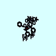 CNC(=O)C1(NC(=O)OC(C)(C)C)CC[C@@](CO[C@H](C)c2cc(C(F)(F)F)cc(C(F)(F)F)c2)(c2ccccc2)N(C(=O)OCc2ccccc2)C1